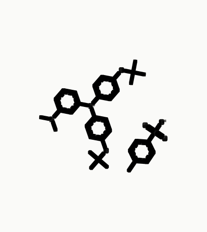 CN(C)c1cccc([S+](c2ccc(OC(C)(C)C)cc2)c2ccc(OC(C)(C)C)cc2)c1.Cc1ccc(S(=O)(=O)[O-])cc1